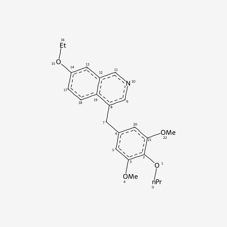 CCCOc1c(OC)cc(Cc2cncc3[c]c(OCC)ccc23)cc1OC